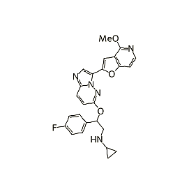 COc1nccc2oc(-c3cnc4ccc(OC(CNC5CC5)c5ccc(F)cc5)nn34)cc12